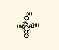 Cc1ccccc1/C=C/c1n[nH]c2nc(-c3ccc(O)cc3)cc(C(=O)N3CCNCC3)c12